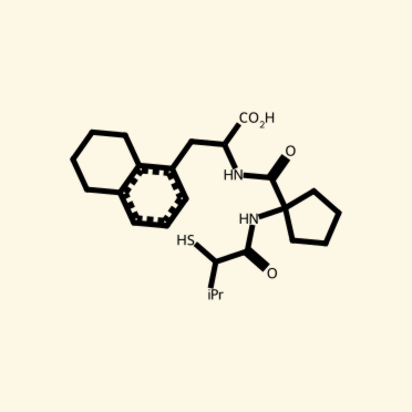 CC(C)C(S)C(=O)NC1(C(=O)NC(Cc2cccc3c2CCCC3)C(=O)O)CCCC1